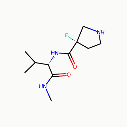 CNC(=O)[C@@H](NC(=O)[C@]1(F)CCNC1)C(C)C